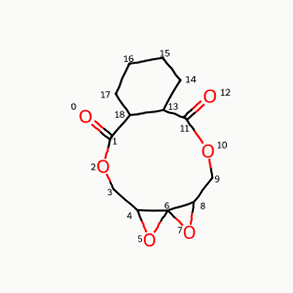 O=C1OCC2OC23OC3COC(=O)C2CCCCC12